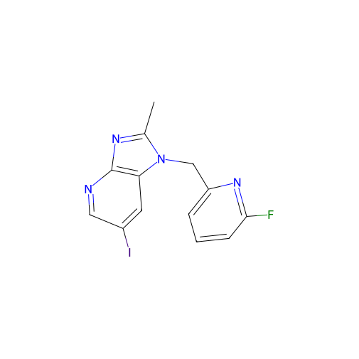 Cc1nc2ncc(I)cc2n1Cc1cccc(F)n1